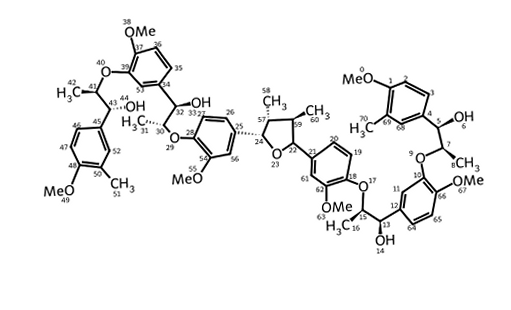 COc1ccc([C@@H](O)[C@@H](C)Oc2cc([C@@H](O)[C@@H](C)Oc3ccc(C4O[C@H](c5ccc(O[C@H](C)[C@H](O)c6ccc(OC)c(O[C@H](C)[C@H](O)c7ccc(OC)c(C)c7)c6)c(OC)c5)[C@H](C)[C@H]4C)cc3OC)ccc2OC)cc1C